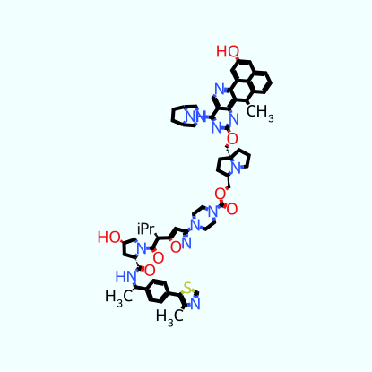 Cc1ncsc1-c1ccc([C@H](C)NC(=O)[C@@H]2C[C@@H](O)CN2C(=O)[C@H](c2cc(N3CCN(C(=O)OC[C@H]4CC[C@@]5(COc6nc(N7CC8CCC(C7)N8)c7cnc8c(c7n6)C(C)c6cccc7cc(O)cc-8c67)CCCN45)CC3)no2)C(C)C)cc1